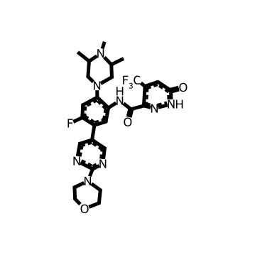 CC1CN(c2cc(F)c(-c3cnc(N4CCOCC4)nc3)cc2NC(=O)c2n[nH]c(=O)cc2C(F)(F)F)CC(C)N1C